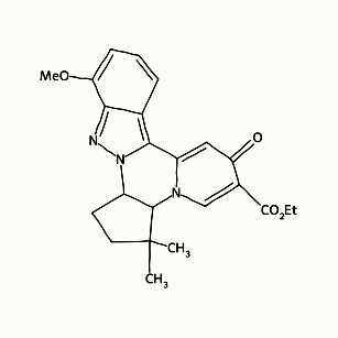 CCOC(=O)c1cn2c(cc1=O)-c1c3cccc(OC)c3nn1C1CCC(C)(C)C12